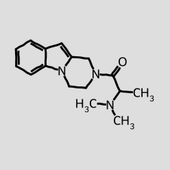 CC(C(=O)N1CCn2c(cc3ccccc32)C1)N(C)C